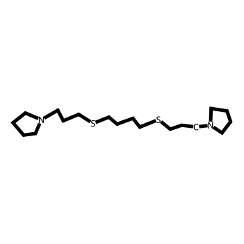 C(CCSCCCN1CCCC1)CSCCCN1CCCC1